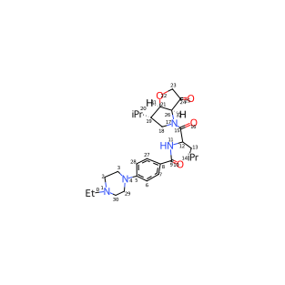 CCN1CCN(c2ccc(C(=O)NC(CC(C)C)C(=O)N3C[C@H](C(C)C)[C@H]4OCC(=O)[C@H]43)cc2)CC1